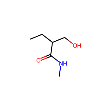 CCC(CO)C(=O)NC